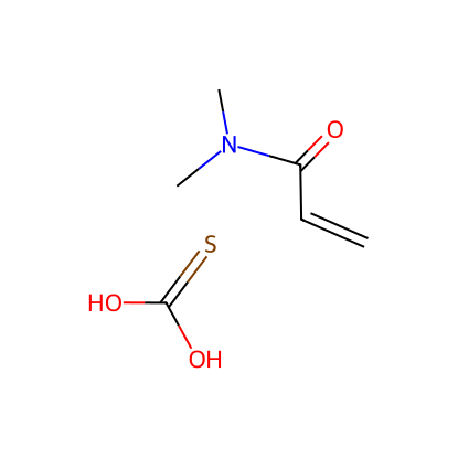 C=CC(=O)N(C)C.OC(O)=S